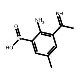 CC(=N)c1cc(C)cc(S(=O)O)c1N